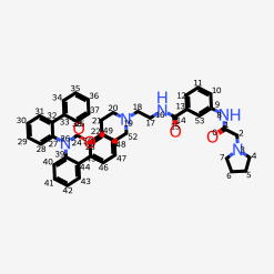 O=C(CN1CCCC1)Nc1cccc(C(=O)NCCN2CCC(OC(=O)N(c3ccccc3-c3ccccc3)c3ccccc3-c3ccccc3)CC2)c1